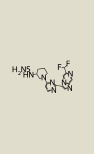 NSNC1CCCN(c2ccnc(-c3cnc4cnc(C(F)F)cn34)n2)C1